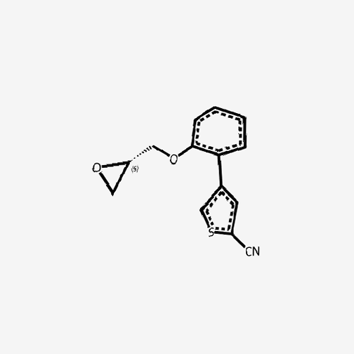 N#Cc1cc(-c2ccccc2OC[C@@H]2CO2)cs1